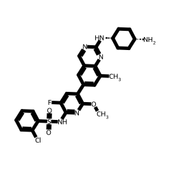 COc1nc(NS(=O)(=O)c2ccccc2Cl)c(F)cc1-c1cc(C)c2nc(N[C@H]3CC[C@@H](N)CC3)ncc2c1